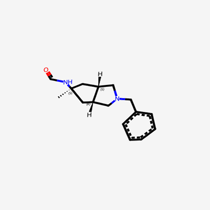 C[C@@]1(NC=O)C[C@H]2CN(Cc3ccccc3)C[C@H]2C1